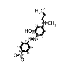 C=CCN(C)c1ccc(N=Nc2ccc([N+](=O)[O-])cc2)c(O)c1